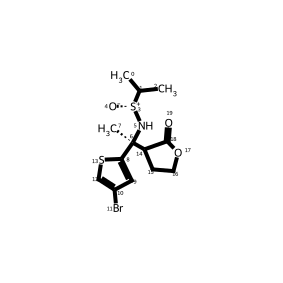 CC(C)[S@@+]([O-])N[C@](C)(c1cc(Br)cs1)C1CCOC1=O